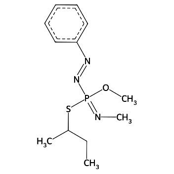 CCC(C)SP(N=Nc1ccccc1)(=NC)OC